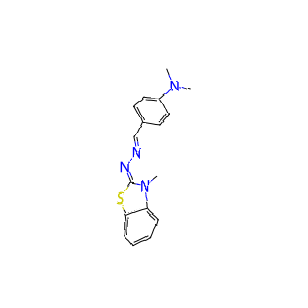 CN(C)c1ccc(C=NN=c2sc3ccccc3n2C)cc1